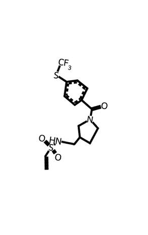 C=CS(=O)(=O)NCC1CCN(C(=O)c2ccc(SC(F)(F)F)cc2)C1